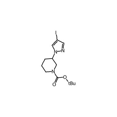 CC(C)(C)OC(=O)N1CCCC(n2cc(I)cn2)C1